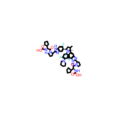 CC1C[C@H](c2cc3nc(C4CCCN4C(=O)C(NC(=O)O)C4CCCC4)[nH]c3cc2F)N(c2cc(F)c(N3CCCCC3)c(F)c2)[C@]1(C)c1cc2nc(C3CCCN3C(=O)[C@@H](NC(=O)O)C3CCCC3)[nH]c2cc1F